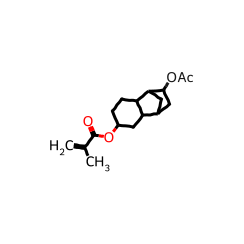 C=C(C)C(=O)OC1CCC2C(C1)C1CC(OC(C)=O)C2C1